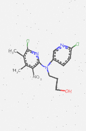 Cc1c(Cl)nc(N(CCCO)c2ccc(Cl)nc2)c([N+](=O)[O-])c1C